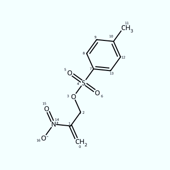 C=C([CH]OS(=O)(=O)c1ccc(C)cc1)[N+](=O)[O-]